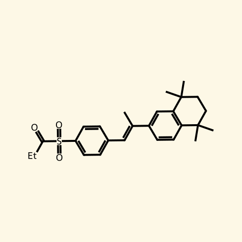 CCC(=O)S(=O)(=O)c1ccc(C=C(C)c2ccc3c(c2)C(C)(C)CCC3(C)C)cc1